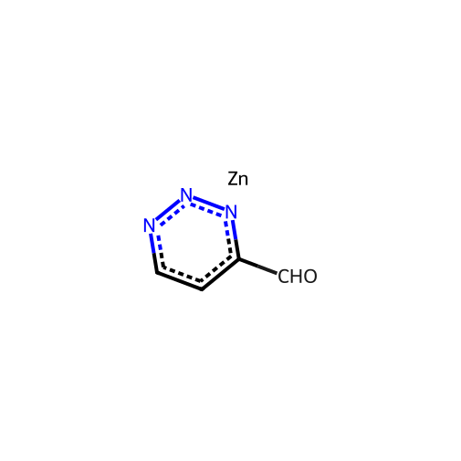 O=Cc1ccnnn1.[Zn]